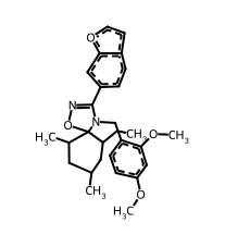 CCC1CC(C)CC(C)C12ON=C(c1ccc3ccoc3c1)N2Cc1ccc(OC)cc1OC